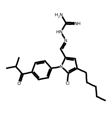 CCCCCc1cc(/C=N/NC(=N)N)n(-c2ccc(C(=O)C(C)C)cc2)c1Cl